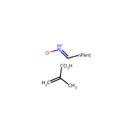 C=C(C)C(=O)O.CCCCCC=[NH+][O-]